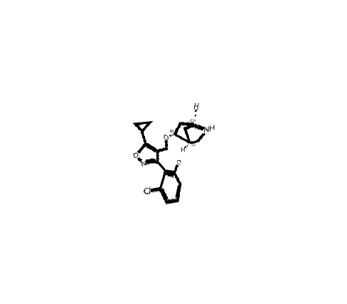 Clc1cccc(Cl)c1-c1noc(C2CC2)c1CO[C@@H]1C[C@@H]2C[C@H]1CN2